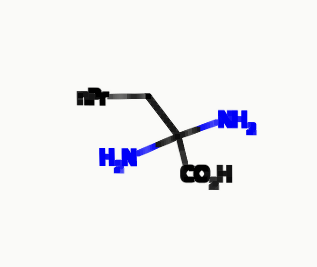 CCCCC(N)(N)C(=O)O